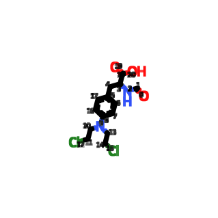 O=CNC(Cc1ccc(N(CCCl)CCCl)cc1)C(=O)O